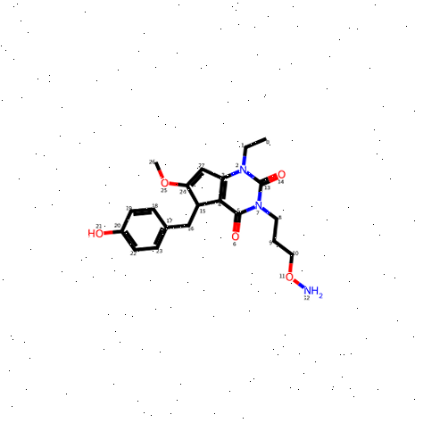 CCn1c2c(c(=O)n(CCCON)c1=O)C(Cc1ccc(O)cc1)C(OC)=C2